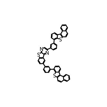 c1cc(-c2ccc3sc4ncc(-c5cccc(-c6cccc7c6sc6ccc8ccccc8c67)c5)nc4c3c2)cc(-c2cccc3c2sc2ccc4ccccc4c23)c1